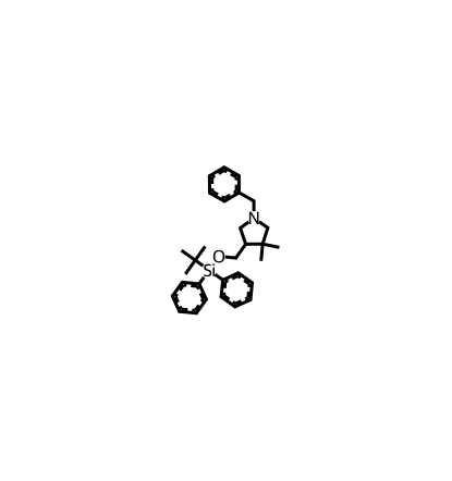 CC1(C)CN(Cc2ccccc2)CC1CO[Si](c1ccccc1)(c1ccccc1)C(C)(C)C